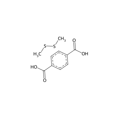 CSSC.O=C(O)c1ccc(C(=O)O)cc1